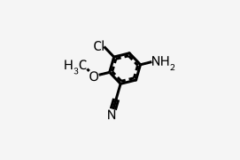 COc1c(Cl)cc(N)cc1C#N